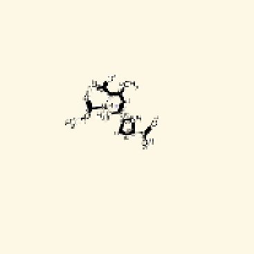 COC(=O)N[C@H](C(C)=O)C(C)/C=C(\C)[C@H]1CC[C@@H](C(=O)O)N1